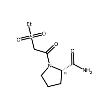 CCS(=O)(=O)CC(=O)N1CCC[C@H]1C(N)=O